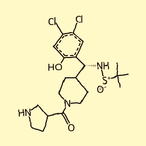 CC(C)(C)[S@+]([O-])N[C@@H](c1cc(Cl)c(Cl)cc1O)C1CCN(C(=O)C2CCNC2)CC1